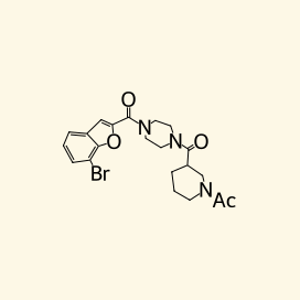 CC(=O)N1CCCC(C(=O)N2CCN(C(=O)c3cc4cccc(Br)c4o3)CC2)C1